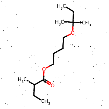 CCC(C)C(=O)OCCCCOC(C)(C)CC